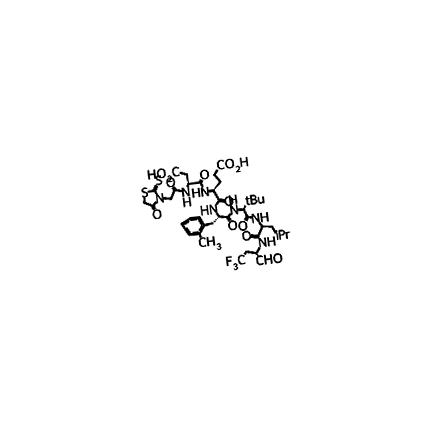 Cc1ccccc1C[C@H](NC(=O)[C@H](CCC(=O)O)NC(=O)[C@H](CC(=O)O)NC(=O)CN1C(=O)CSC1=S)C(=O)N[C@H](C(=O)N[C@@H](CC(C)C)C(=O)N[C@H](C=O)CC(F)(F)F)C(C)(C)C